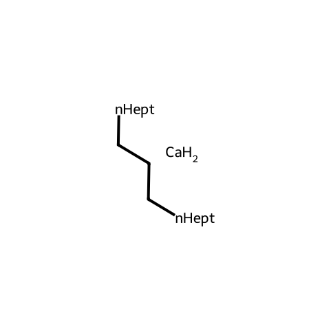 CCCCCCCCCCCCCCCCC.[CaH2]